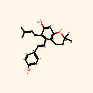 CC(C)=CCc1c(O)cc2c(c1/C=C/c1ccc(O)cc1)CCC(C)(C)O2